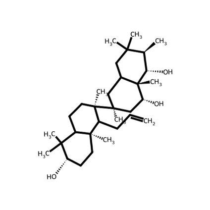 C=CCC1[C@@]2(C)CC[C@H](O)C(C)(C)C2CC[C@@]1(C)[C@@]1(C)CC2CC(C)(C)[C@@H](C)[C@H](O)[C@]2(C)[C@H](O)C1